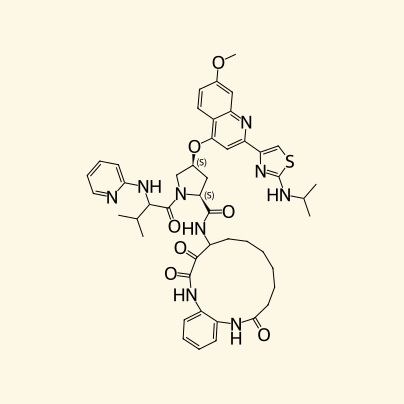 COc1ccc2c(O[C@H]3C[C@@H](C(=O)NC4CCCCCCC(=O)Nc5ccccc5NC(=O)C4=O)N(C(=O)C(Nc4ccccn4)C(C)C)C3)cc(-c3csc(NC(C)C)n3)nc2c1